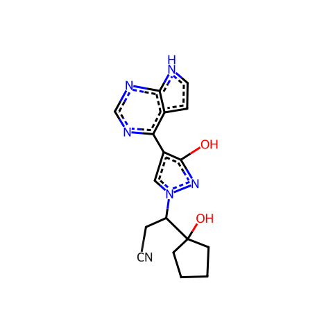 N#CCC(n1cc(-c2ncnc3[nH]ccc23)c(O)n1)C1(O)CCCC1